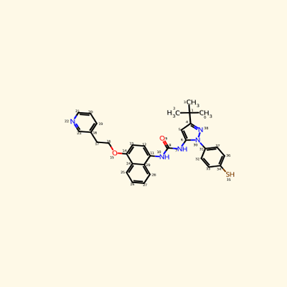 CC(C)(C)c1cc(NC(=O)Nc2ccc(OCCc3cccnc3)c3ccccc23)n(-c2ccc(S)cc2)n1